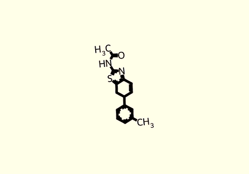 CC(=O)Nc1nc2c(s1)CC(c1cccc(C)c1)C=C2